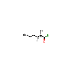 CC[C@@H](C(=O)Br)[C@@H](C)CCC(C)(C)C